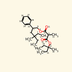 CCC(C)(CC)CC(COC(=O)C(C)C(=O)OC(C)(CC)CC)c1ccccc1